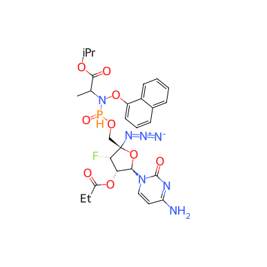 CCC(=O)O[C@H]1[C@H](n2ccc(N)nc2=O)O[C@@](CO[PH](=O)N(Oc2cccc3ccccc23)C(C)C(=O)OC(C)C)(N=[N+]=[N-])[C@H]1F